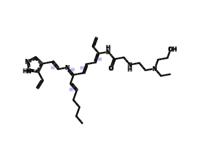 C=C\C(=C/C=C/C(/C=C/CCCC)=N/C=C/c1cn[nH]c1C=C)NC(=O)CNCCN(CC)CCO